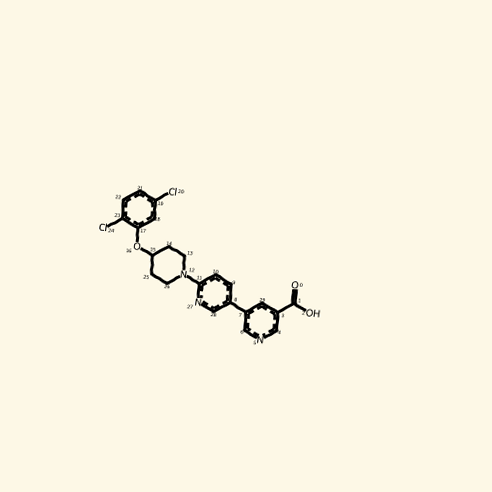 O=C(O)c1cncc(-c2ccc(N3CCC(Oc4cc(Cl)ccc4Cl)CC3)nc2)c1